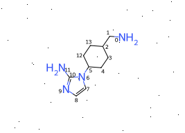 NCC1CCC(n2ccnc2N)CC1